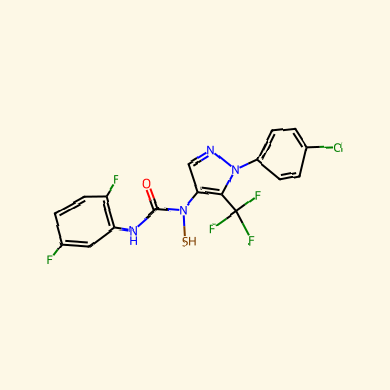 O=C(Nc1cc(F)ccc1F)N(S)c1cnn(-c2ccc(Cl)cc2)c1C(F)(F)F